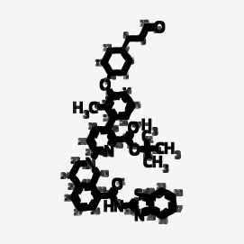 Cc1c(O[C@H]2CC[C@H](CCC=O)CC2)cccc1-c1ccc(N2CCc3cccc(C(=O)Nc4nc5ccccc5s4)c3C2)nc1C(=O)OC(C)(C)C